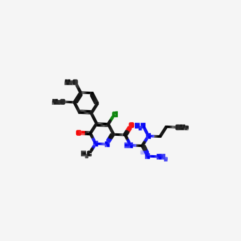 COCCN(N)/C(=N\N)NC(=O)c1nn(C)c(=O)c(-c2ccc(OC)c(OC)c2)c1Cl